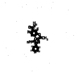 CCCc1oc(C(C)Oc2ccc(F)c(C(N)=O)c2F)nc1-c1ccccc1